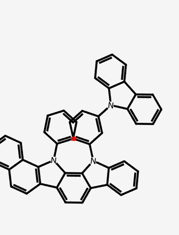 c1ccc(-n2c3c4ccccc4ccc3c3ccc4c5ccccc5n(-c5cccc(-n6c7ccccc7c7ccccc76)c5)c4c32)cc1